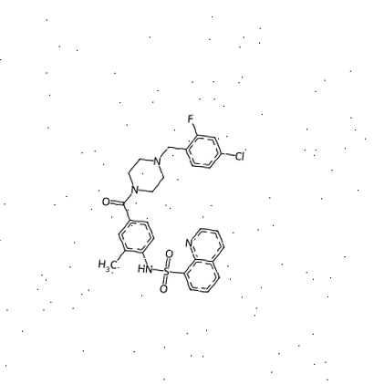 Cc1cc(C(=O)N2CCN(Cc3ccc(Cl)cc3F)CC2)ccc1NS(=O)(=O)c1cccc2cccnc12